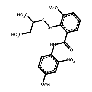 COc1ccc(NC(=O)c2cccc(OC)c2[Se]SC(CC(=O)O)C(=O)O)c([N+](=O)[O-])c1